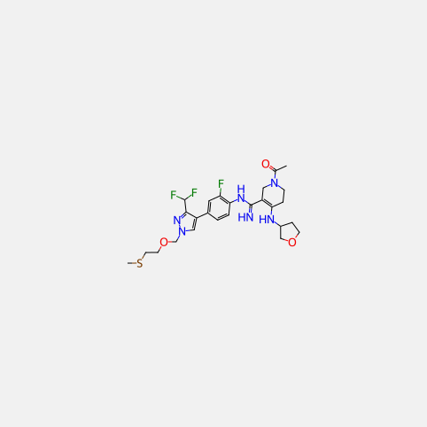 CSCCOCn1cc(-c2ccc(NC(=N)C3=C(NC4CCOC4)CCN(C(C)=O)C3)c(F)c2)c(C(F)F)n1